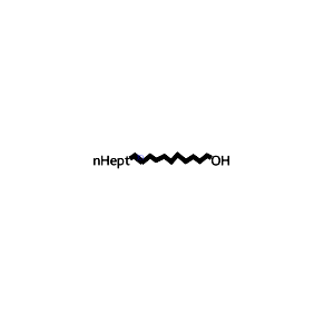 CCCCCCC/C=C/CCCCCCCCCO